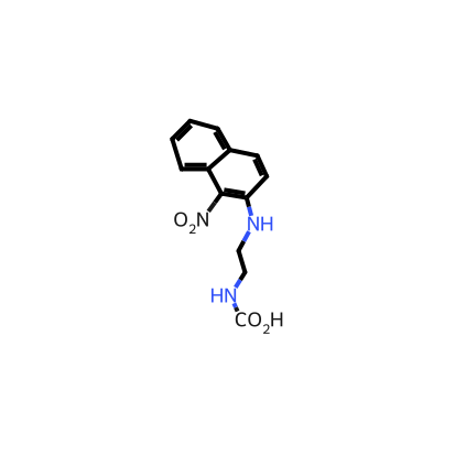 O=C(O)NCCNc1ccc2ccccc2c1[N+](=O)[O-]